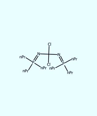 CCCP(CCC)(CCC)=NC(Cl)(Cl)N=P(CCC)(CCC)CCC